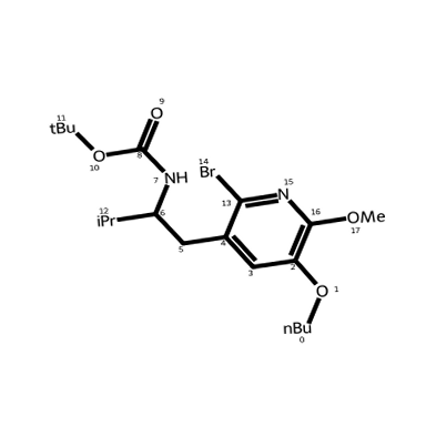 CCCCOc1cc(CC(NC(=O)OC(C)(C)C)C(C)C)c(Br)nc1OC